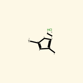 CC.CC1=CC[C]([Ti])=C1.Cl